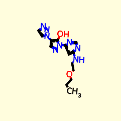 CCCOCCNc1cc(-n2ncc(-n3ccnn3)c2O)ncn1